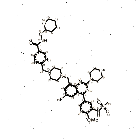 COc1ncc(-c2nc(N3CCOCC3)nc3c(CN4CCN(Cc5ncc(C(=O)NOC6CCCCO6)cn5)CC4)cc(F)cc23)cc1NS(C)(=O)=O